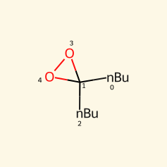 CCCCC1(CCCC)OO1